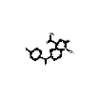 Cn1c(=O)cc(C(N)=O)c2cc(C(=O)c3ccc(Cl)cc3)ccc21